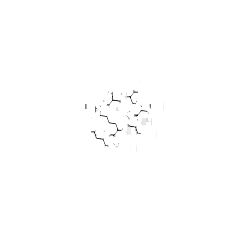 CC(C)C(N)C(=O)NC(C(=O)NC(C(=O)NC(C(=O)NC(CCCCN)C(=O)NC(CC(=O)O)C(=O)O)C(C)O)C(C)C)C(C)C